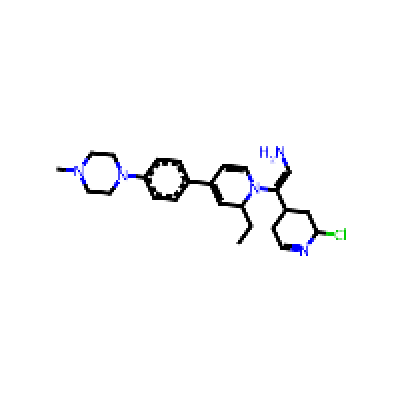 CCC1C=C(c2ccc(N3CCN(C)CC3)cc2)C=CN1/C(=C\N)C1CC=NC(Cl)C1